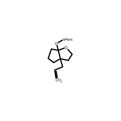 C=CCC12CCCC1(OCCCCC)OCC2